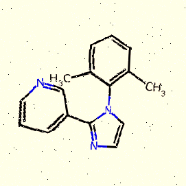 Cc1cccc(C)c1-n1ccnc1-c1cccnc1